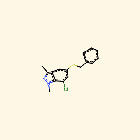 Cc1nn(C)c2c(Cl)cc(SCc3ccccc3)cc12